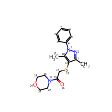 Cc1nn(-c2ccccc2)c(C)c1SCC(=O)N1CCOCC1